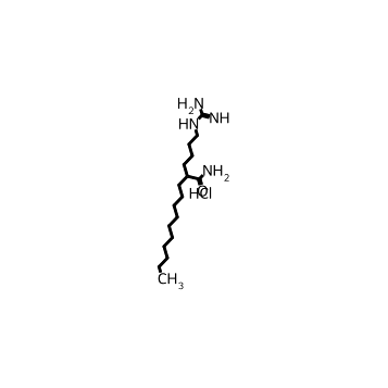 CCCCCCCCCCC(CCCCNC(=N)N)C(N)=O.Cl